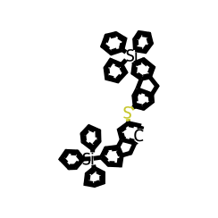 c1ccc([Si](c2ccccc2)(c2ccccc2)c2ccc3c(c2)-c2cc(Sc4ccc5c(c4)-c4cc([Si](c6ccccc6)(c6ccccc6)c6ccccc6)ccc4C5)ccc2C3)cc1